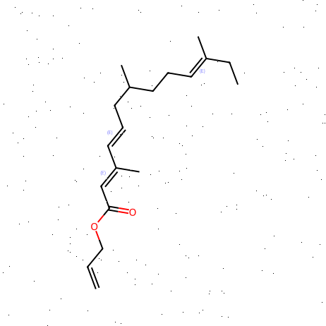 C=CCOC(=O)/C=C(C)/C=C/CC(C)CC/C=C(\C)CC